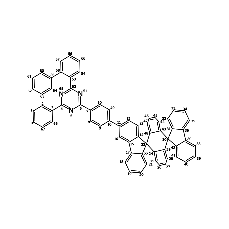 c1ccc(-c2nc(-c3ccc(-c4ccc5c(c4)-c4ccccc4C54c5ccccc5C5(c6ccccc6-c6ccccc65)c5ccccc54)cc3)nc(-c3ccccc3-c3ccccc3)n2)cc1